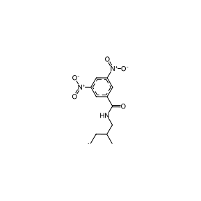 [CH2]CC(C)CNC(=O)c1cc([N+](=O)[O-])cc([N+](=O)[O-])c1